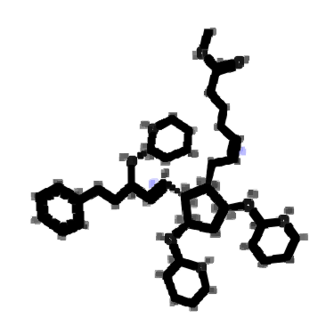 COC(=O)CCC/C=C\C[C@@H]1[C@@H](/C=C/C(CCc2ccccc2)O[C@H]2CCCCO2)[C@H](OC2CCCCO2)C[C@@H]1OC1CCCCO1